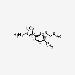 C=C/C(=C\C(I)CN)C1=C[C@H](CCCC(C)=O)C(CN)C=C1